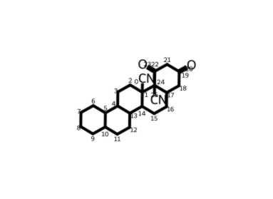 N#CC12CCC3C4CCCCC4CCC3C1CCC1CC(=O)CC(=O)C12C#N